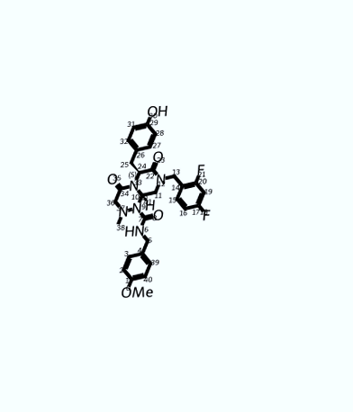 COc1ccc(CNC(=O)N2[C@H]3CN(Cc4ccc(F)cc4F)C(=O)[C@H](Cc4ccc(O)cc4)N3C(=O)CN2C)cc1